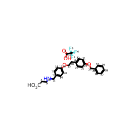 O=C(O)C(F)(F)F.O=C(O)CCNCc1ccc(OCCc2ccc(OCc3ccccc3)cc2)cc1